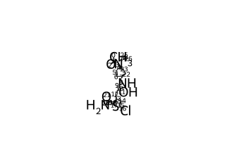 CC(=O)N(c1ccc(NCC(O)Cc2cc(Cl)sc2C(N)=O)cc1)C1CC1